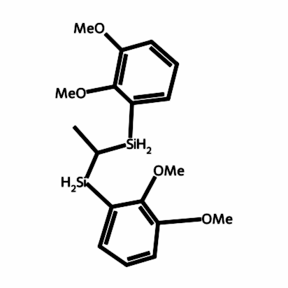 COc1cccc([SiH2]C(C)[SiH2]c2cccc(OC)c2OC)c1OC